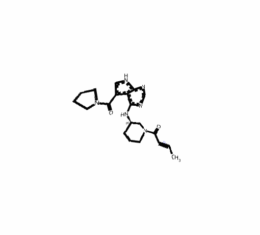 C/C=C/C(=O)N1CCC[C@@H](Nc2ncnc3[nH]cc(C(=O)N4CCCC4)c23)C1